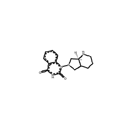 O=c1[nH]c(=O)n(N2CC3CCCN[C@@H]3C2)c2ccccc12